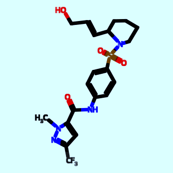 Cn1nc(C(F)(F)F)cc1C(=O)Nc1ccc(S(=O)(=O)N2CCCCC2C=CCO)cc1